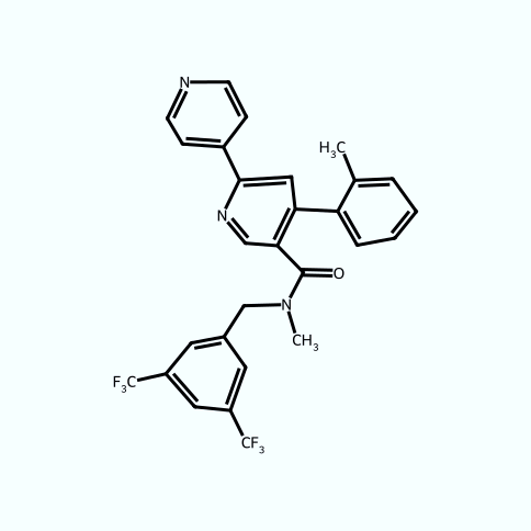 Cc1ccccc1-c1cc(-c2ccncc2)ncc1C(=O)N(C)Cc1cc(C(F)(F)F)cc(C(F)(F)F)c1